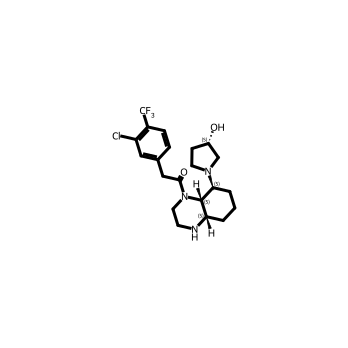 O=C(Cc1ccc(C(F)(F)F)c(Cl)c1)N1CCN[C@H]2CCC[C@H](N3CC[C@H](O)C3)[C@H]21